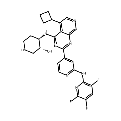 O[C@@H]1CNCC[C@H]1Nc1nc(-c2ccnc(Nc3nc(F)c(F)cc3F)c2)nc2cncc(C3CCC3)c12